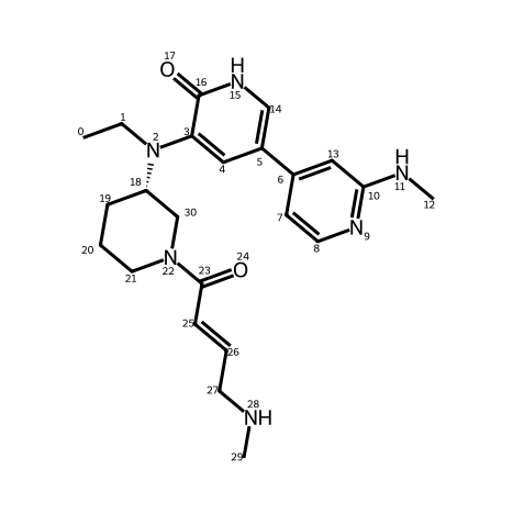 CCN(c1cc(-c2ccnc(NC)c2)c[nH]c1=O)[C@H]1CCCN(C(=O)/C=C/CNC)C1